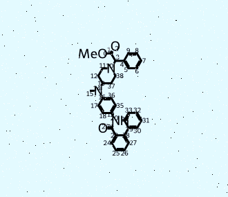 COC(=O)C(c1ccccc1)N1CCC(N(C)c2ccc(NC(=O)c3ccccc3-c3ccccc3)cc2)CC1